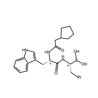 CC(C)C[C@H](NC(=O)[C@H](Cc1c[nH]c2ccccc12)NC(=O)CC1CCCC1)B(O)O